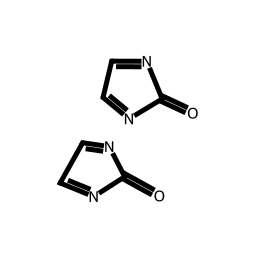 O=C1N=CC=N1.O=C1N=CC=N1